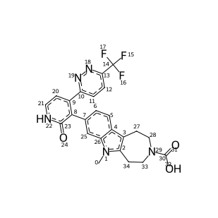 Cn1c2c(c3ccc(-c4c(-c5ccc(C(F)(F)F)nn5)cc[nH]c4=O)cc31)CCN(C(=O)O)CC2